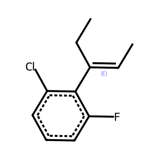 C/C=C(\CC)c1c(F)cccc1Cl